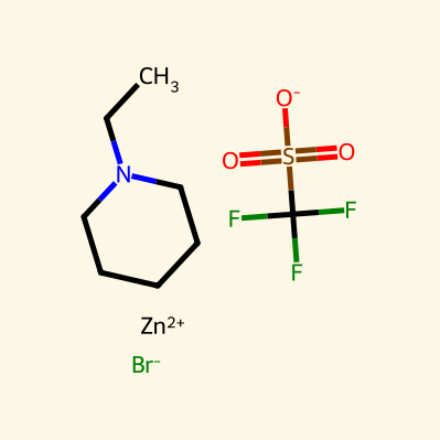 CCN1CCCCC1.O=S(=O)([O-])C(F)(F)F.[Br-].[Zn+2]